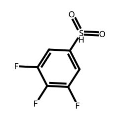 O=[SH](=O)c1cc(F)c(F)c(F)c1